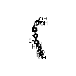 OCC1(CO)CCN(Cc2ccc(-c3ccc(-c4cc5nc(O[C@@H]6CO[C@H]7[C@@H]6OC[C@H]7O)[nH]c5cc4Cl)cc3)cc2)CC1